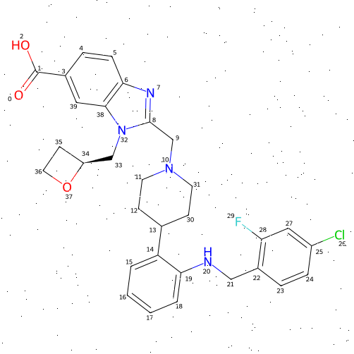 O=C(O)c1ccc2nc(CN3CCC(c4ccccc4NCc4ccc(Cl)cc4F)CC3)n(C[C@@H]3CCO3)c2c1